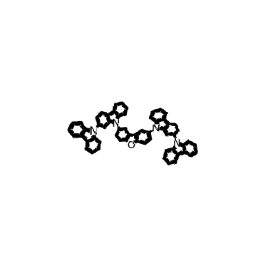 c1ccc2c(c1)c1ccccc1n2-c1ccc2c3ccccc3n(-c3ccc4oc5ccc(-n6c7ccccc7c7ccc(-n8c9ccccc9c9ccccc98)cc76)cc5c4c3)c2c1